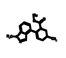 CC1CC=C(c2cccc3c2cnn3C)N(C(=O)OC(C)(C)C)C1